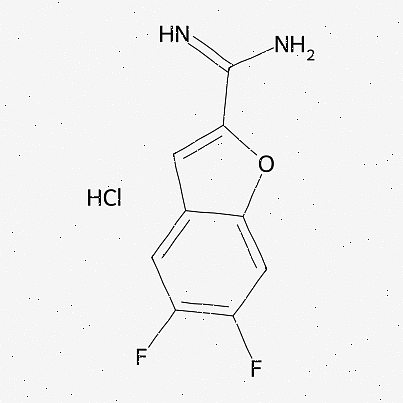 Cl.N=C(N)c1cc2cc(F)c(F)cc2o1